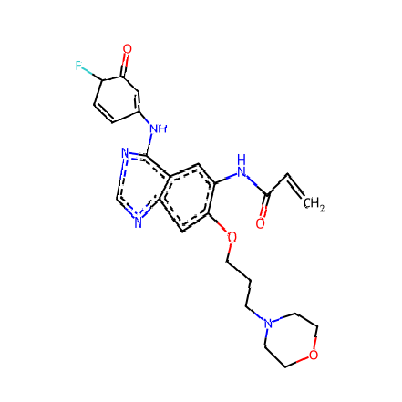 C=CC(=O)Nc1cc2c(NC3=CC(=O)C(F)C=C3)ncnc2cc1OCCCN1CCOCC1